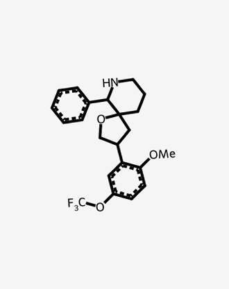 COc1ccc(OC(F)(F)F)cc1C1COC2(CCCNC2c2ccccc2)C1